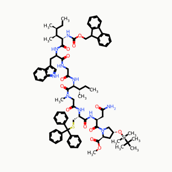 CC[C@H](C)[C@H](C)[C@H](NC(=O)OCC1c2ccccc2-c2ccccc21)C(=O)NC(Cc1c[nH]c2ccccc12)C(=O)NCC(=O)N[C@H](C(=O)N(C)CC(=O)N[C@@H](CSC(c1ccccc1)(c1ccccc1)c1ccccc1)C(=O)N[C@@H](CC(N)=O)C(=O)N1C[C@H](O[Si](C)(C)C(C)(C)C)C[C@H]1C(=O)OC)[C@@H](C)CC